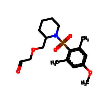 COc1cc(C)c(S(=O)(=O)N2CCCCC2COCC=O)c(C)c1